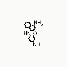 N=C1C=CC2Nc3c(cc(N)c4ccccc34)OC2=C1